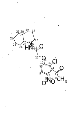 CC(=O)c1c([N+](=O)[O-])ccc(OCC(=O)NN2CCCC3CCCCC32)c1Cl